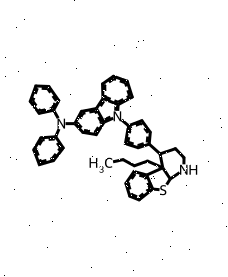 CCCCC12c3ccccc3SC1NCCC2c1ccc(-n2c3ccccc3c3cc(N(c4ccccc4)c4ccccc4)ccc32)cc1